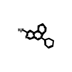 Nc1cc2c(cn1)cc(C1=CC=CCC1)c1ccccc12